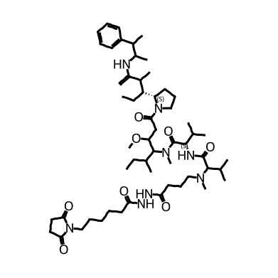 C=C(NC(C)C(C)c1ccccc1)C(C)C(CC)[C@@H]1CCCN1C(=O)CC(OC)C(C(C)CC)N(C)C(=O)[C@@H](NC(=O)C(C(C)C)N(C)CCCC(=O)NNC(=O)CCCCCN1C(=O)CCC1=O)C(C)C